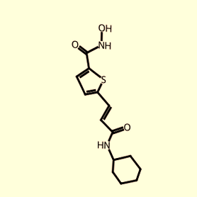 O=C(C=Cc1ccc(C(=O)NO)s1)NC1CCCCC1